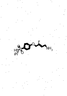 CC(C)NS(=O)(=O)c1ccc(OCC(F)=CCN)cc1